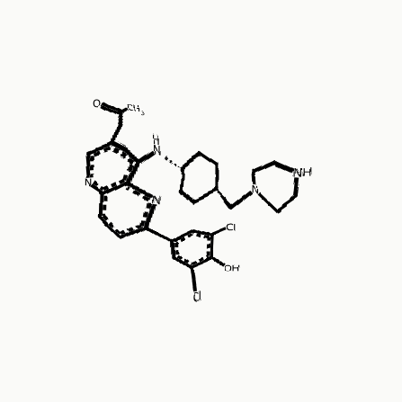 CC(=O)c1cnc2ccc(-c3cc(Cl)c(O)c(Cl)c3)nc2c1N[C@H]1CC[C@H](CN2CCNCC2)CC1